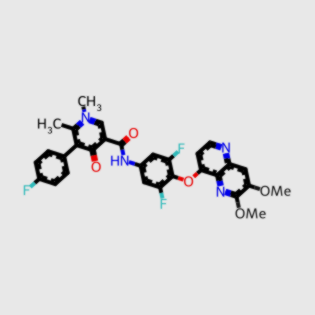 COc1cc2nccc(Oc3c(F)cc(NC(=O)c4cn(C)c(C)c(-c5ccc(F)cc5)c4=O)cc3F)c2nc1OC